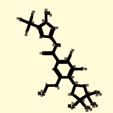 CCOc1cc(C(=O)Nc2cc(C(F)(F)F)n(C)n2)c(F)c(F)c1B1OC(C)(C)C(C)(C)O1